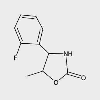 CC1OC(=O)NC1c1ccccc1F